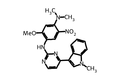 COc1cc(N(C)C)c([N+](=O)[O-])cc1Nc1nccc(-c2cn(C)c3ccccc23)n1